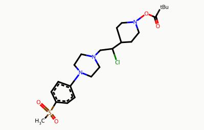 CC(C)(C)C(=O)ON1CCC(C(Cl)CN2CCN(c3ccc(S(C)(=O)=O)cc3)CC2)CC1